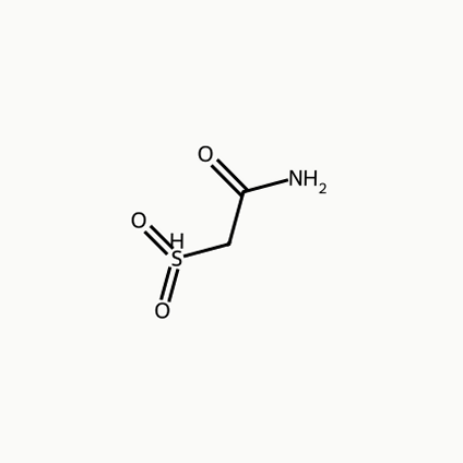 NC(=O)C[SH](=O)=O